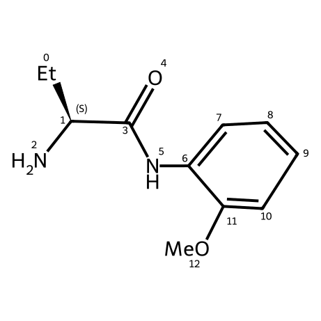 CC[C@H](N)C(=O)Nc1ccccc1OC